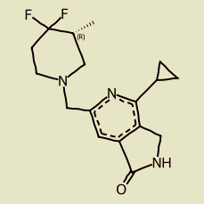 C[C@@H]1CN(Cc2cc3c(c(C4CC4)n2)CNC3=O)CCC1(F)F